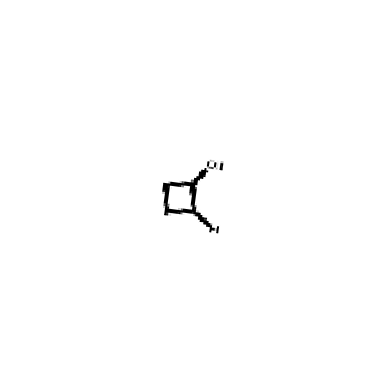 CCC1CCC1O